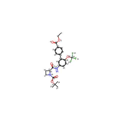 CCOC(=O)c1ccc(-c2cc(NC(=O)[C@@H]3CCN3C(=O)OC(C)(C)C)ccc2OC(F)(F)F)cc1